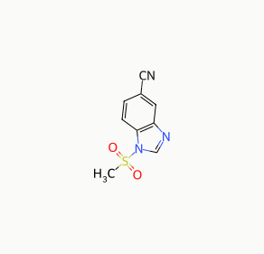 CS(=O)(=O)n1cnc2cc(C#N)ccc21